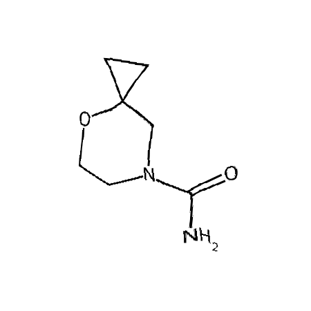 NC(=O)N1CCOC2(CC2)C1